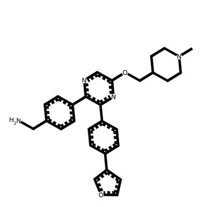 CN1CCC(COc2cnc(-c3ccc(CN)cc3)c(-c3ccc(-c4ccoc4)cc3)n2)CC1